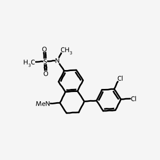 CNC1CCC(c2ccc(Cl)c(Cl)c2)c2ccc(N(C)S(C)(=O)=O)cc21